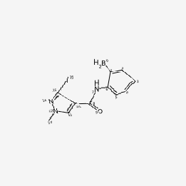 Bc1ccccc1NC(=O)c1cn(C)nc1I